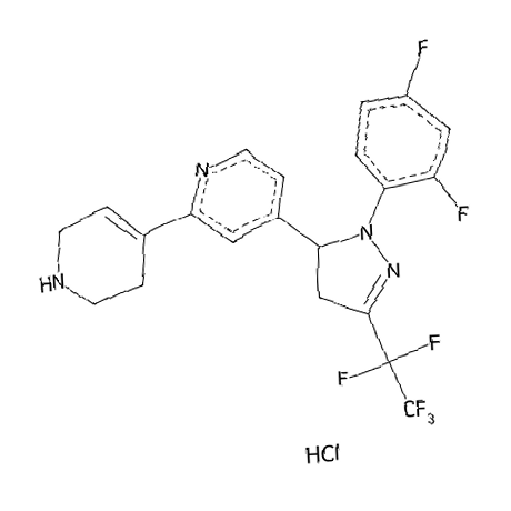 Cl.Fc1ccc(N2N=C(C(F)(F)C(F)(F)F)CC2c2ccnc(C3=CCNCC3)c2)c(F)c1